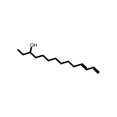 C=C/C=C/CCCCCCCC(O)CC